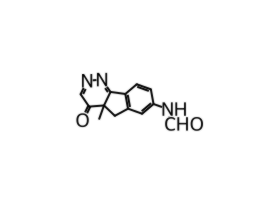 CC12Cc3cc(NC=O)ccc3C1=NN=CC2=O